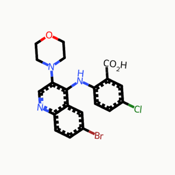 O=C(O)c1cc(Cl)ccc1Nc1c(N2CCOCC2)cnc2ccc(Br)cc12